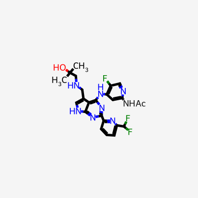 CC(=O)Nc1cc(Nc2nc(-c3cccc(C(F)F)n3)nc3[nH]cc(CNCC(C)(C)O)c23)c(F)cn1